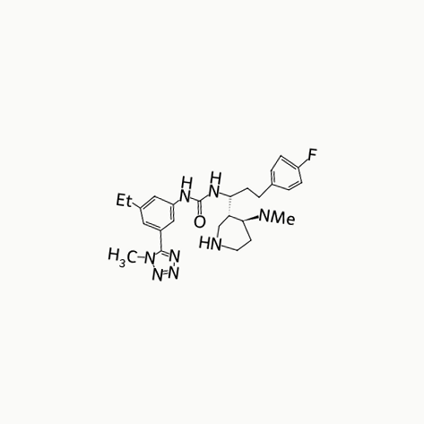 CCc1cc(NC(=O)NC(CCc2ccc(F)cc2)[C@H]2CNCC[C@@H]2NC)cc(-c2nnnn2C)c1